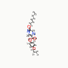 CCCCCCCCOc1cnc(C(=O)Oc2ccc(OC[C@@H](C)CC)cc2)cn1